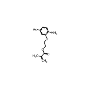 C=C(C)C(=O)OCCOc1cc(C(C)=O)ccc1N